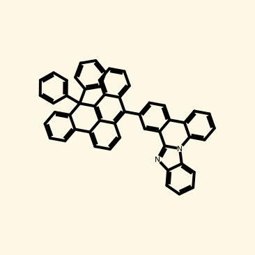 c1ccc(C2(c3ccccc3)c3ccccc3-c3cccc4c(-c5ccc6c7ccccc7n7c8ccccc8nc7c6c5)c5ccccc5c2c34)cc1